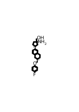 N[C@]1(CO)CC[C@H](c2ccc3c(c2)CC[C@@H](COc2ccc(F)cc2)C3)C1